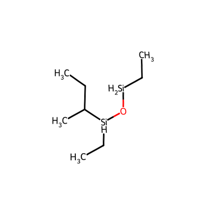 CC[SiH2]O[SiH](CC)C(C)CC